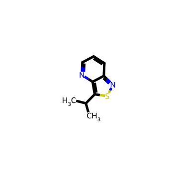 CC(C)c1snc2cccnc12